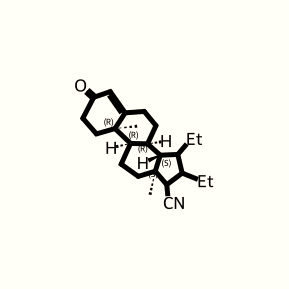 CCC1C(CC)[C@H]2[C@@H]3CCC4=CC(=O)CC[C@]4(C)[C@@H]3CC[C@]2(C)C1C#N